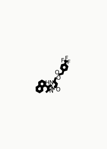 Cc1nn2c(=O)cc(COC(=O)Cc3ccc(C(F)(F)F)cc3)[nH]c2c1-c1cccc2ccccc12